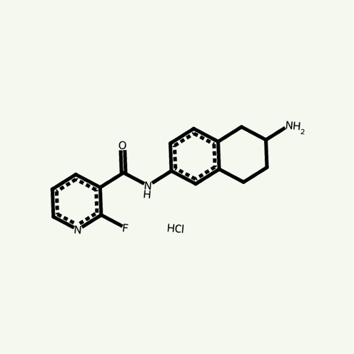 Cl.NC1CCc2cc(NC(=O)c3cccnc3F)ccc2C1